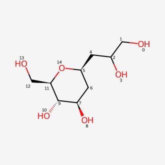 OCC(O)C[C@H]1C[C@@H](O)[C@H](O)[C@@H](CO)O1